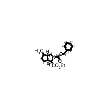 CCOC(=O)C1[C@H]2CCC(C)[C@H]2CN1C(=O)OCc1ccccc1